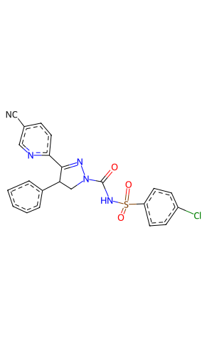 N#Cc1ccc(C2=NN(C(=O)NS(=O)(=O)c3ccc(Cl)cc3)CC2c2ccccc2)nc1